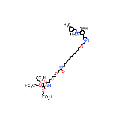 CNc1ccc(-c2cnn(CCOCCCCCCCCCCCCNC(=O)CCOCCOCCC(=O)NC(COCCC(=O)O)(COCCC(=O)O)COCCC(=O)O)c2)cc1N(C)Cc1cc(C)ccc1C